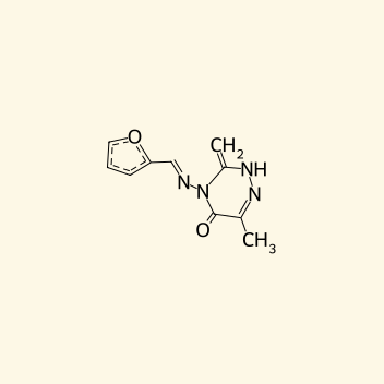 C=C1NN=C(C)C(=O)N1N=Cc1ccco1